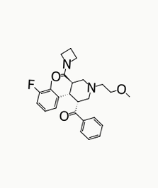 COCCN1C[C@H](C(=O)c2ccccc2)[C@H](c2cccc(F)c2C)[C@@H](C(=O)N2CCC2)C1